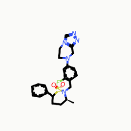 C[C@H]1CCC(c2ccccc2)S(=O)(=O)N1Cc1ccc(N2CCn3cnnc3C2)cc1F